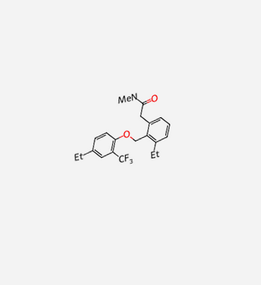 CCc1ccc(OCc2c(CC)cccc2CC(=O)NC)c(C(F)(F)F)c1